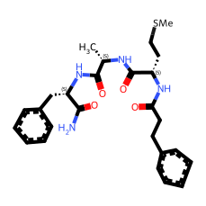 CSCC[C@H](NC(=O)CCc1ccccc1)C(=O)N[C@@H](C)C(=O)N[C@@H](Cc1ccccc1)C(N)=O